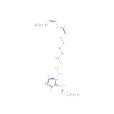 CCCCC/C=C\C/C=C\CCCCCCCCn1cncc1COCCCCC